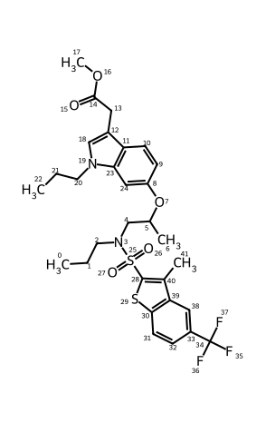 CCCN(CC(C)Oc1ccc2c(CC(=O)OC)cn(CCC)c2c1)S(=O)(=O)c1sc2ccc(C(F)(F)F)cc2c1C